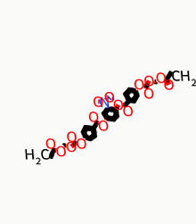 C=CC(=O)OCOC(=O)Oc1ccc(C(=O)Oc2ccc(OC(=O)c3ccc(OC(=O)OCOC(=O)C=C)cc3)c([N+](=O)[O-])c2)cc1